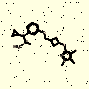 Cc1c(OC2CC(COc3cccc([C@H](C4CC4)[C@H](C)C(=O)O)c3)C2)nn(C)c1C